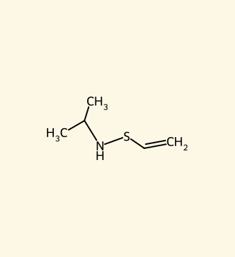 C=CSNC(C)C